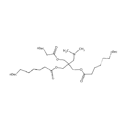 CCCCCCCCCCCCCCCC(=O)OCC(COC(=O)CCCCCCCCCCC)(COC(=O)CCCCCCCCCCCCCCC)CN(C)C